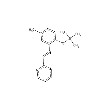 Cc1ccc(O[Si](C)(C)C)c(N=Cc2ncccn2)c1